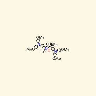 CN/C(=C1/C(=O)N(C)C(c2ccc(N(c3ccc(OC)cc3)c3ccc(OC)cc3)cc2)=C1C=O)c1ccc(N(c2ccc(OC)cc2)c2ccc(OC)cc2)cc1